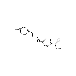 CCC(=O)c1ccc(OCCCN2CCN(C)CC2)cc1